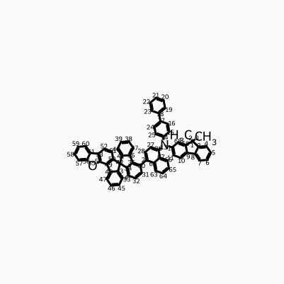 CC1(C)c2ccccc2-c2ccc(N(c3ccc(-c4ccccc4)cc3)c3ccc(-c4cccc5c4-c4ccccc4C54c5ccccc5-c5c4ccc4c5oc5ccccc54)c4ccccc34)cc21